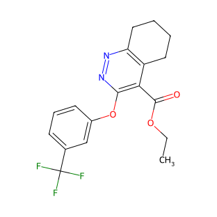 CCOC(=O)c1c(Oc2cccc(C(F)(F)F)c2)nnc2c1CCCC2